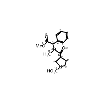 COC(=O)[C@@H](c1ccccc1)N(C)C(=O)C1CCN(C(=O)O)C1